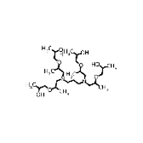 CC(O)COC(C)CN(CCCN(CC(C)OCC(C)O)CC(C)OCC(C)O)CC(C)OCC(C)O